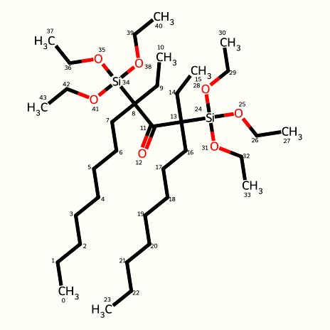 CCCCCCCCC(CC)(C(=O)C(CC)(CCCCCCCC)[Si](OCC)(OCC)OCC)[Si](OCC)(OCC)OCC